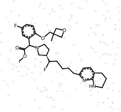 CC1(COc2ccc(F)cc2C(C(=O)OI)N2CC[C@@H](C(F)CCCCc3ccc4c(n3)NCCC4)C2)COC1